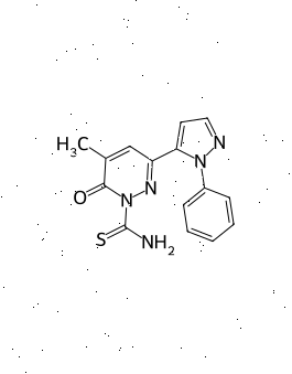 Cc1cc(-c2ccnn2-c2ccccc2)nn(C(N)=S)c1=O